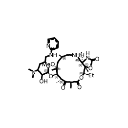 CC[C@H]1OC(=O)C(C)C(=O)[C@H](C)[C@@H](O[C@@H]2OC(CNc3ccccn3)CC(N(C)C)C2O)[C@](C)(OC)C[C@@H](C)CN[C@H](C)[C@H]2NC(=O)O[C@@]21C